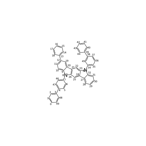 c1ccc(-c2ccc(-n3c4ccc(-c5ccccc5)cc4c4cc5c(cc43)c3ccccc3n5-c3cccc(-c4ccccc4)c3)cc2)cc1